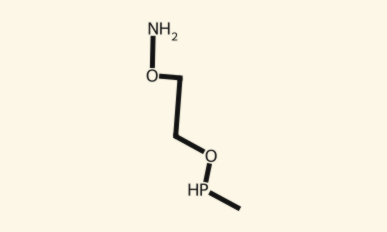 CPOCCON